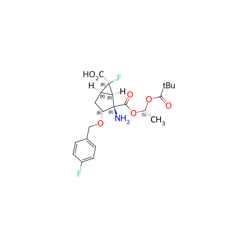 C[C@@H](OC(=O)C(C)(C)C)OC(=O)[C@@]1(N)[C@H]2[C@@H](C[C@H]1OCc1ccc(F)cc1)[C@]2(F)C(=O)O